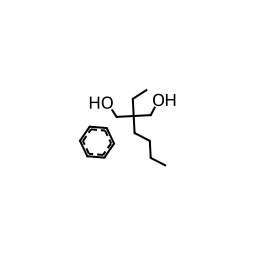 CCCCC(CC)(CO)CO.c1ccccc1